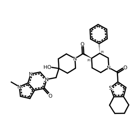 Cn1ccc2c(=O)n(CC3(O)CCN(C(=O)[C@@H]4CCN(C(=O)c5cc6c(s5)CCCC6)C[C@H]4c4ccccc4)CC3)cnc21